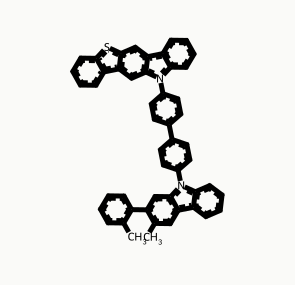 Cc1ccccc1-c1cc2c(cc1C)c1ccccc1n2-c1ccc(-c2ccc(-n3c4ccccc4c4cc5sc6ccccc6c5cc43)cc2)cc1